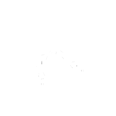 CCCCOP(=O)(OC1=CCC(=C(C)Cc2ccc(O)cc2)C=C1)OC1=CCC(=C(C)Cc2ccc(O)cc2)C=C1